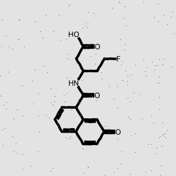 O=C1C=CC2=CC=CC(C(=O)NC(CCF)CC(=O)O)C2=C1